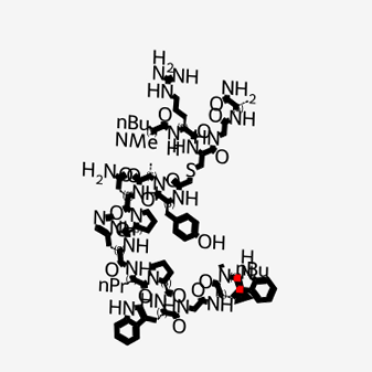 CCCC[C@H](NC)C(=O)N[C@@H](CCCNC(=N)N)C(=O)NC(CSCC(=O)N[C@@H](Cc1ccc(O)cc1)C(=O)N(C)[C@@H](C)C(=O)N[C@@H](CC(N)=O)C(=O)N1CCC[C@H]1C(=O)N[C@@H](Cc1cnc[nH]1)C(=O)N[C@@H](CCC)C(=O)N1CCC[C@H]1C(=O)N[C@@H](Cc1c[nH]c2ccccc12)C(=O)NCC(=O)N[C@@H](Cc1c[nH]c2ccccc12)C(=O)N(C)[C@@H](CCCC)C1=CC1)C(=O)NCC(=O)N[C@@H](C)C(N)=O